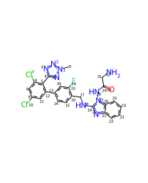 Cn1nnc(-c2c(Cl)cc(Cl)cc2-c2ccc(CNc3nc4ccccc4n3NC(=O)CN)c(F)c2)n1